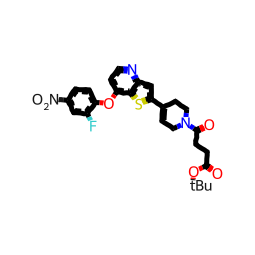 CC(C)(C)OC(=O)CCC(=O)N1CC=C(c2cc3nccc(Oc4ccc([N+](=O)[O-])cc4F)c3s2)CC1